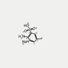 Cc1ccc(N)c(S(=O)(=O)O)c1.[NaH]